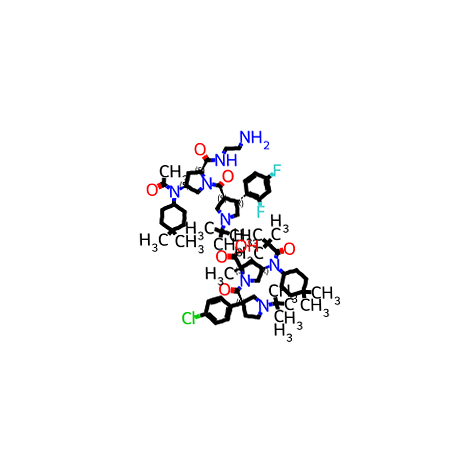 CC(=O)N(C1CCC(C)(C)CC1)[C@H]1C[C@@H](C(=O)NCCN)N(C(=O)[C@@H]2CN(C(C)(C)C)C[C@H]2c2ccc(F)cc2F)C1.CC1(C)CCC(N(C(=O)C(C)(C)C)[C@H]2CN(C(=O)[C@]3(c4ccc(Cl)cc4)CCN(C(C)(C)C)C3)[C@](C)(C(=O)O)C2)CC1